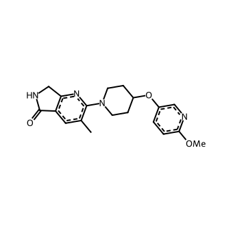 COc1ccc(OC2CCN(c3nc4c(cc3C)C(=O)NC4)CC2)cn1